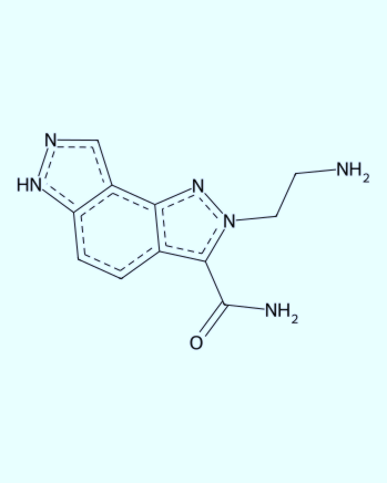 NCCn1nc2c(ccc3[nH]ncc32)c1C(N)=O